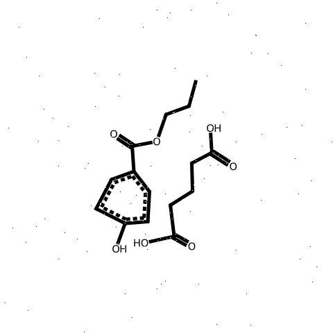 CCCOC(=O)c1ccc(O)cc1.O=C(O)CCCC(=O)O